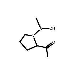 CB(O)N1CCCC1C(C)=O